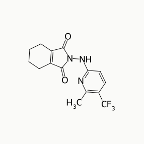 Cc1nc(NN2C(=O)C3=C(CCCC3)C2=O)ccc1C(F)(F)F